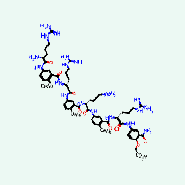 COc1ccc(NC(=O)[C@@H](CCCNC(=N)N)NC(=O)c2cc(NC(=O)[C@H](N)CCCNC(=N)N)ccc2OC)cc1C(=O)N[C@H](CCCN)C(=O)Nc1ccc(OC)c(C(=O)N[C@H](CCCNC(=N)N)C(=O)Nc2ccc(OCC(=O)O)c(C(N)=O)c2)c1